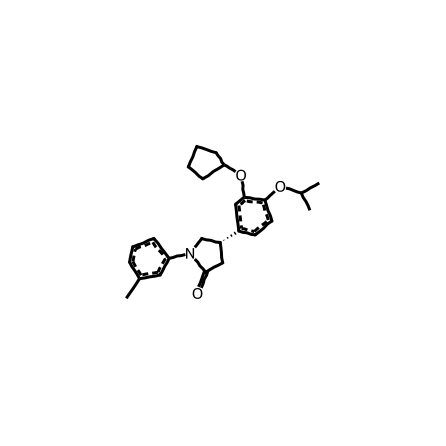 Cc1cccc(N2C[C@H](c3ccc(OC(C)C)c(OC4CCCC4)c3)CC2=O)c1